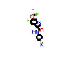 N#C[C@H]1CC[C@H](NC(=O)c2cnc3cc(OC(F)F)c(F)cc3c2)CC1